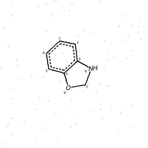 [c]1ccc2c(c1)OCN2